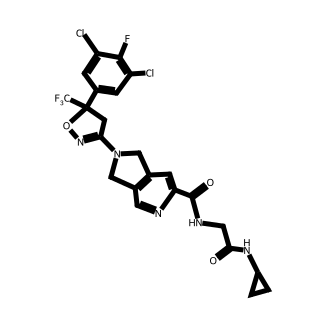 O=C(CNC(=O)c1cc2c(cn1)CN(C1=NOC(c3cc(Cl)c(F)c(Cl)c3)(C(F)(F)F)C1)C2)NC1CC1